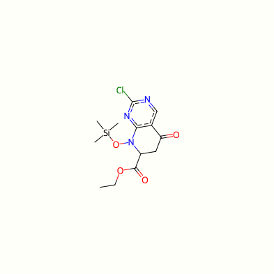 CCOC(=O)C1CC(=O)c2cnc(Cl)nc2N1O[Si](C)(C)C